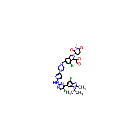 Cc1nc2c(F)cc(-c3nc(Nc4ccc(N5CCN(Cc6cc(Br)c7c(c6)CN(C6CCC(=O)NC6=O)C7C(=O)C=O)CC5)cn4)ncc3F)cc2n1C(C)C